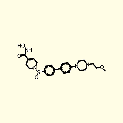 COCCN1CCN(c2ccc(-c3ccc([S+]([O-])N4CC=C(C(=O)NO)CC4)cc3)cc2)CC1